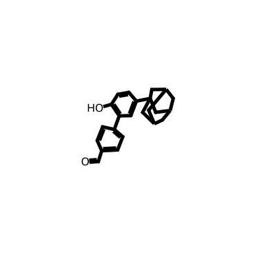 O=Cc1ccc(-c2cc(C34CC5CC(CC(C5)C3)C4)ccc2O)cc1